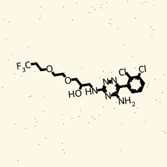 Nc1nc(NCC(O)COCCOCCC(F)(F)F)nnc1-c1cccc(Cl)c1Cl